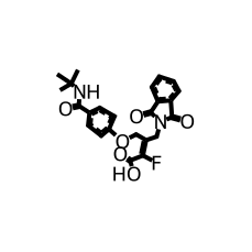 CC(C)(C)NC(=O)c1ccc(OC/C(CN2C(=O)c3ccccc3C2=O)=C(/F)C(=O)O)cc1